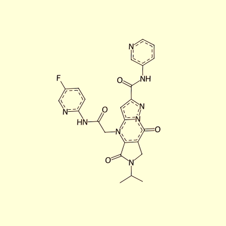 CC(C)N1Cc2c(n(CC(=O)Nc3ccc(F)cn3)c3cc(C(=O)Nc4cccnc4)nn3c2=O)C1=O